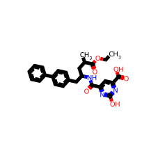 CCOC(=O)C(C)CC(Cc1ccc(-c2ccccc2)cc1)NC(=O)c1cc(C(=O)O)nc(O)n1